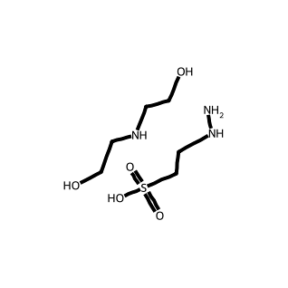 NNCCS(=O)(=O)O.OCCNCCO